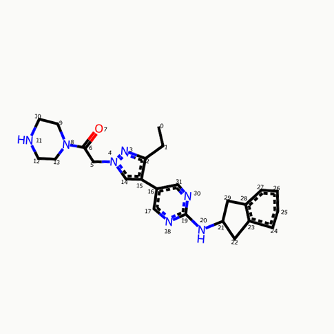 CCc1nn(CC(=O)N2CCNCC2)cc1-c1cnc(NC2Cc3ccccc3C2)nc1